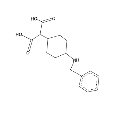 O=C(O)C(C(=O)O)C1CCC(NCc2ccccc2)CC1